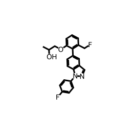 CC(O)COc1cccc(CF)c1-c1ccc2c(cnn2-c2ccc(F)cc2)c1